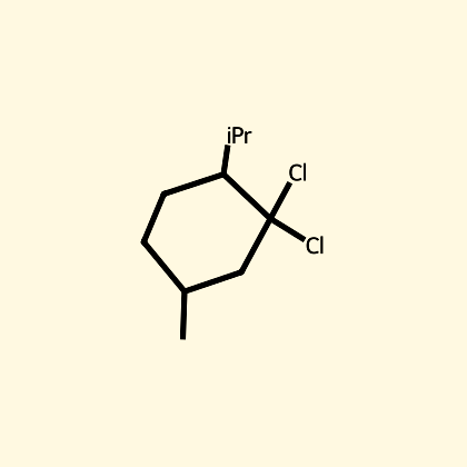 CC1CCC(C(C)C)C(Cl)(Cl)C1